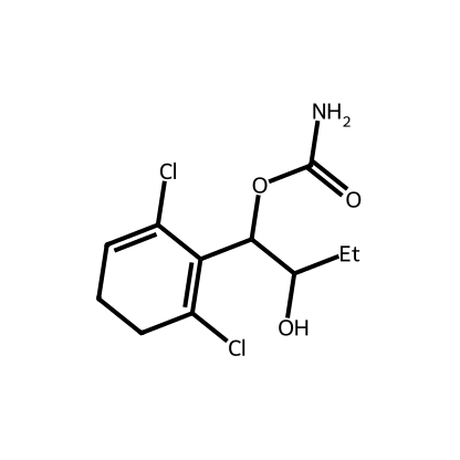 CCC(O)C(OC(N)=O)C1=C(Cl)CCC=C1Cl